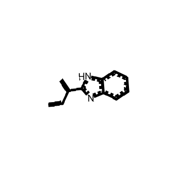 C=CC(=C)c1nc2ccccc2[nH]1